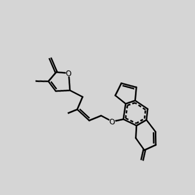 C=C1C=Cc2cc3c(c(OC/C=C(/C)CC4C=C(C)C(=C)O4)c2C1)CC=C3